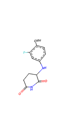 COc1ccc(NC2CCC(=O)NC2=O)cc1F